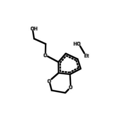 CCO.OCCOc1cccc2c1OCCO2